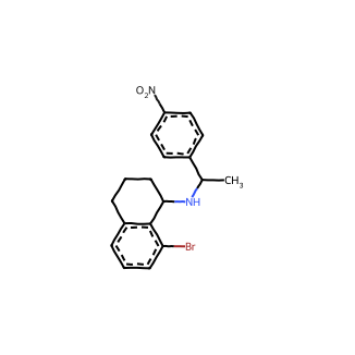 CC(NC1CCCc2cccc(Br)c21)c1ccc([N+](=O)[O-])cc1